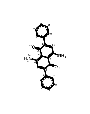 NC1=C2C(=O)C(c3ccccc3)=CC(N)=C2C(=O)C(c2ccccc2)=C1